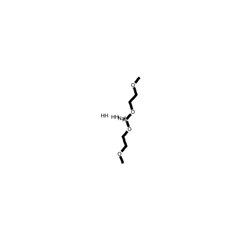 COCC[O][Al][O]CCOC.[HH].[HH].[NaH]